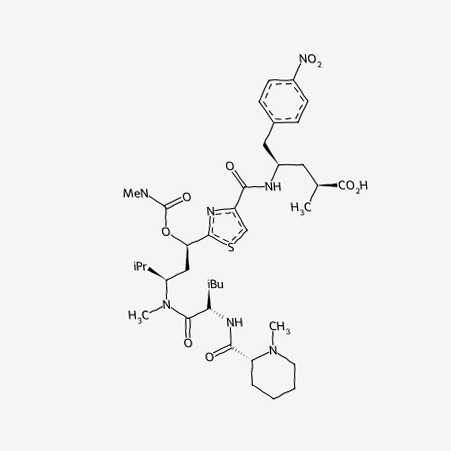 CC[C@H](C)[C@H](NC(=O)[C@H]1CCCCN1C)C(=O)N(C)[C@H](C[C@@H](OC(=O)NC)c1nc(C(=O)N[C@@H](Cc2ccc([N+](=O)[O-])cc2)C[C@H](C)C(=O)O)cs1)C(C)C